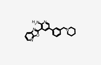 Nc1ncc(-c2cccc(CN3CCCCC3)c2)cc1-c1nc2cccnc2o1